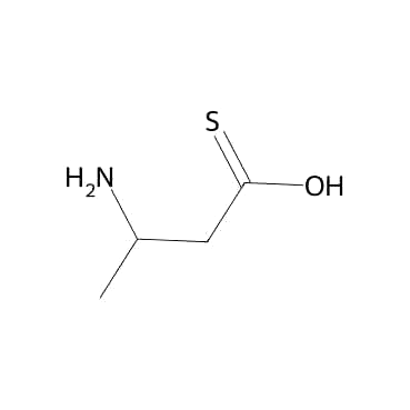 CC(N)CC(O)=S